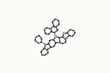 c1ccc(-n2c3ccccc3c3cc4c5ccc6c7ccccc7sc6c5n(-c5cc6ccccc6c6ccccc56)c4cc32)cc1